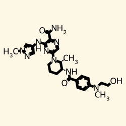 C[C@@H]1[C@H](NC(=O)c2ccc(N(C)CCO)cc2)CCCN1c1cnc(C(N)=O)c(Nc2cnn(C)c2)n1